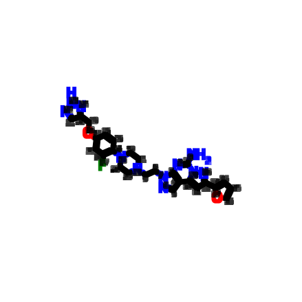 Nc1nc2c(cnn2CCN2CCN(c3ccc(OCc4cn[nH]n4)cc3F)CC2)c2cc(-c3ccco3)nn12